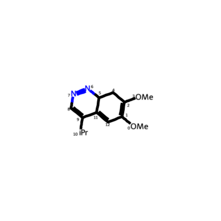 COC1=C(OC)CC2N=NC=C(C(C)C)C2=C1